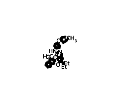 CCC(CC)c1cc2cnc(Nc3ccc(OC4CCN(C)CC4)cc3)nc2n(C2Cc3ccccc3C(=O)C2(C)C)c1=O